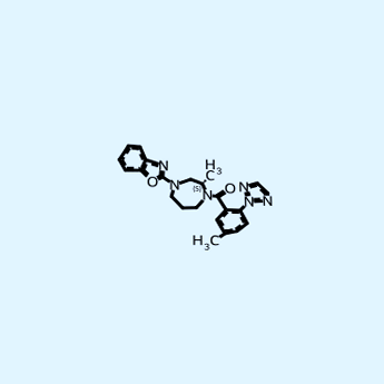 Cc1ccc(-n2nccn2)c(C(=O)N2CCCN(c3nc4ccccc4o3)C[C@@H]2C)c1